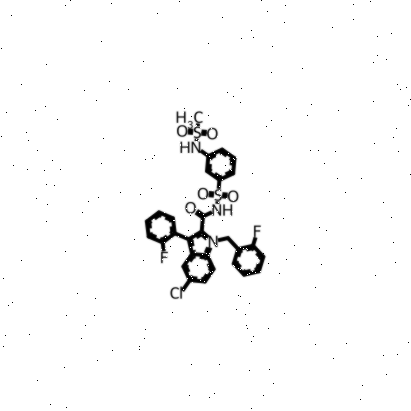 CS(=O)(=O)Nc1cccc(S(=O)(=O)NC(=O)c2c(-c3ccccc3F)c3cc(Cl)ccc3n2Cc2ccccc2F)c1